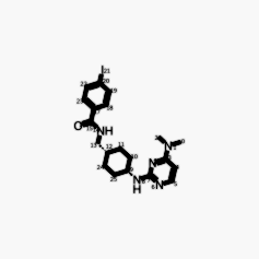 CN(C)c1ccnc(N[C@H]2CC[C@@H](CNC(=O)c3ccc(I)cc3)CC2)n1